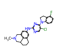 CN1Cc2cc(Nc3ncc(Cl)c(N4CCc5c(F)cccc54)n3)cc3c2C(CCC3)C1